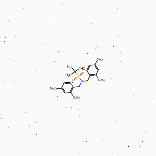 COc1ccc(CN(Cc2ccc(OC)cc2OC)S(=O)(=O)C(C)(C)C=O)c(OC)c1